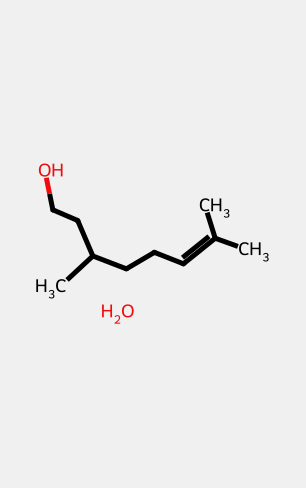 CC(C)=CCCC(C)CCO.O